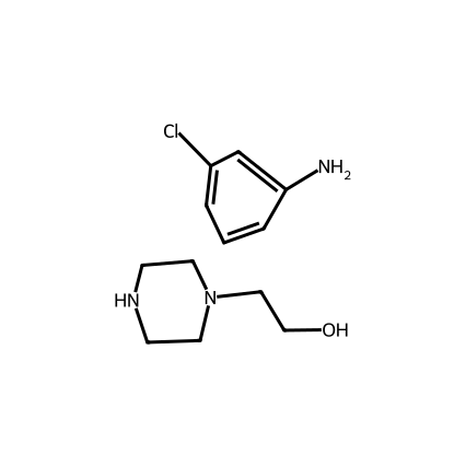 Nc1cccc(Cl)c1.OCCN1CCNCC1